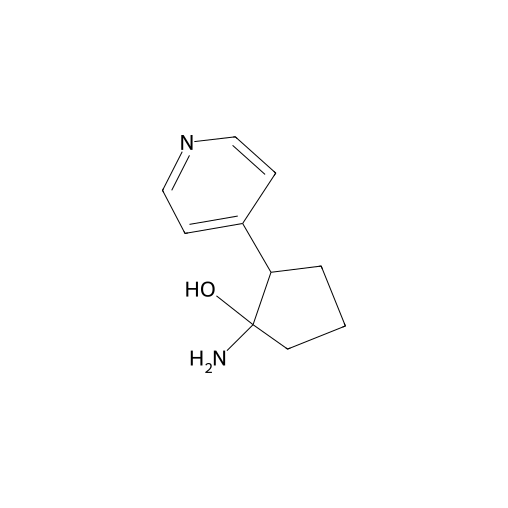 NC1(O)CCCC1c1ccncc1